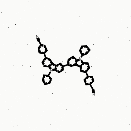 N#Cc1ccc(-c2ccc3c(c2)c2cc(-c4ccc5c(c4)c4cc(-c6ccc(C#N)cc6)ccc4n5-c4ccccc4)ccc2n3-c2ccccc2)cc1